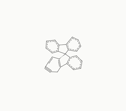 C1#CCC2=C(C=C1)C1(c3ccccc32)c2ccccc2-c2ccccc21